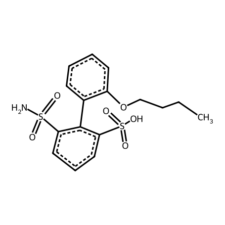 CCCCOc1ccccc1-c1c(S(N)(=O)=O)cccc1S(=O)(=O)O